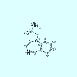 NC(=O)CN1C=CN=Cc2ccccc21